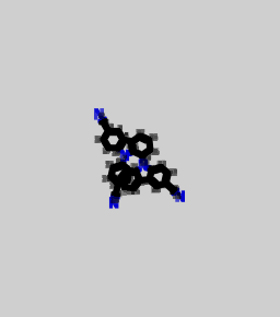 N#CC1=Cc2c3c(n(-c4ccc(C#N)cc4)c2CC1)C(n1c2ccccc2c2cc(C#N)ccc21)CC=C3